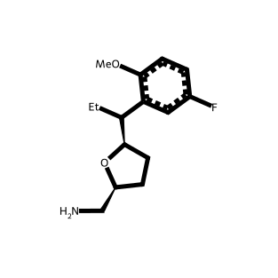 CCC(c1cc(F)ccc1OC)[C@H]1CC[C@@H](CN)O1